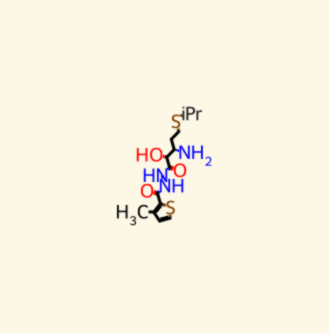 Cc1ccsc1C(=O)NNC(=O)C(O)[C@H](N)CCSC(C)C